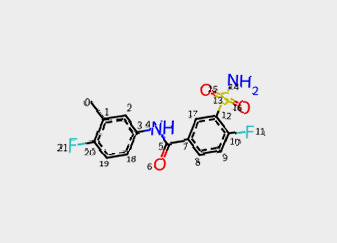 Cc1cc(NC(=O)c2ccc(F)c(S(N)(=O)=O)c2)ccc1F